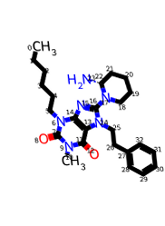 CCCCCCn1c(=O)n(C)c(=O)c2c1nc(N1CCCC[C@H]1N)n2CCc1ccccc1